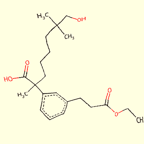 CCOC(=O)CCc1cccc(C(C)(CCCCC(C)(C)CO)C(=O)O)c1